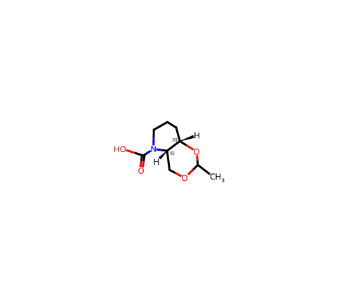 CC1OC[C@H]2[C@H](CCCN2C(=O)O)O1